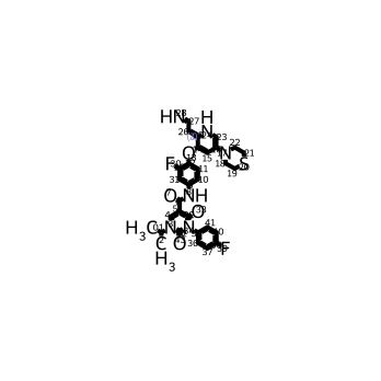 CC(C)n1cc(C(=O)Nc2ccc(OC3=CC(N4CCSCC4)=CN/C3=C\C=N)c(F)c2)c(=O)n(-c2ccc(F)cc2)c1=O